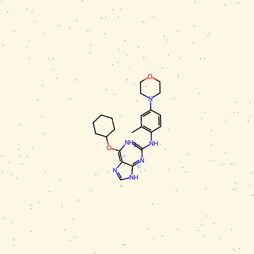 C=C(/N=C1/NC=N/C1=C(/N)OC1CCCCC1)Nc1ccc(N2CCOCC2)cc1C